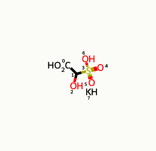 O=C(O)C(O)S(=O)(=O)O.[KH]